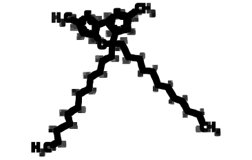 CCCCCCCCCCCCC1(CCCCCCCCCCCC)Oc2cc(C)sc2-c2sc(C)cc21